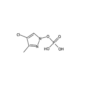 Cc1nn(OP(=O)(O)O)cc1Cl